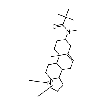 CC1C2CCC3C4CC=C5CC(N(C)C(=O)C(C)(C)C)CCC5(C)C4CCC32CN1C